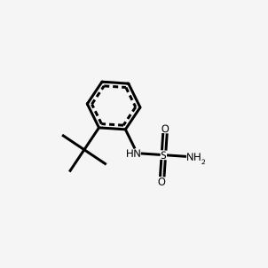 CC(C)(C)c1ccccc1NS(N)(=O)=O